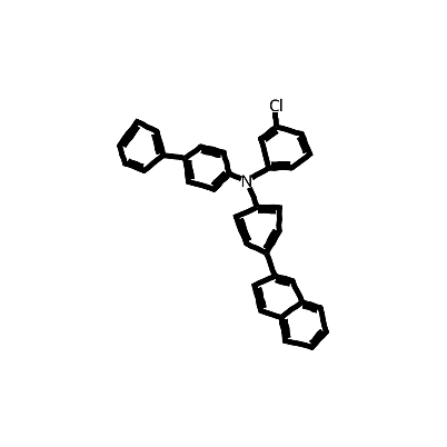 Clc1cccc(N(c2ccc(-c3ccccc3)cc2)c2ccc(-c3ccc4ccccc4c3)cc2)c1